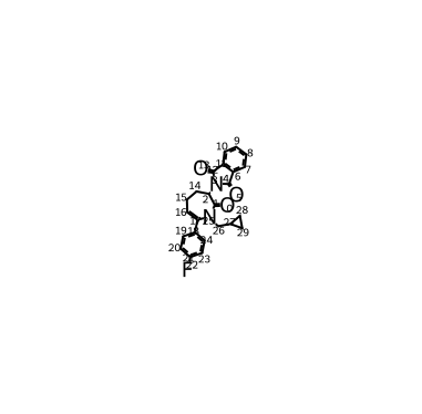 O=C1[C@@H](N2C(=O)c3ccccc3C2=O)CCC=C(c2ccc(F)cc2)N1CC1CC1